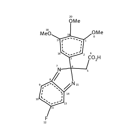 COc1cc(C2(CC(=O)O)N=c3ccc(F)cc3=N2)cc(OC)c1OC